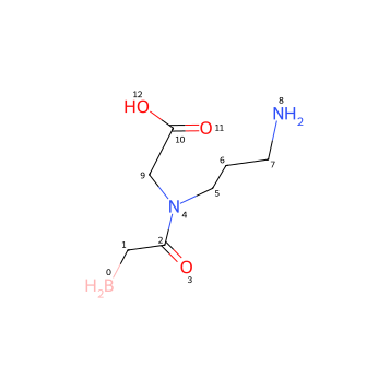 BCC(=O)N(CCCN)CC(=O)O